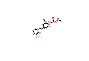 Bc1cccc(C=Cc2ccc(OCC(=O)OCC)c(C)c2)c1